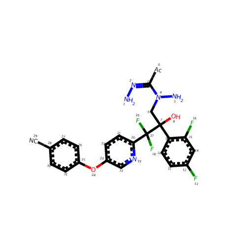 CC(=O)/C(=N/N)N(N)CC(O)(c1ccc(F)cc1F)C(F)(F)c1ccc(Oc2ccc(C#N)cc2)cn1